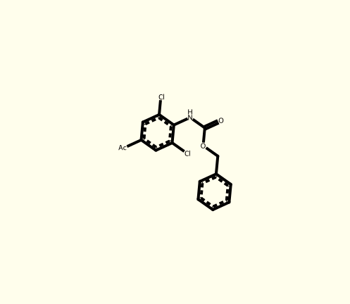 CC(=O)c1cc(Cl)c(NC(=O)OCc2ccccc2)c(Cl)c1